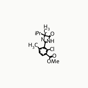 COC(=O)c1ccc(C)c(C2=NC(C)(C(C)C)C(=O)N2)c1Cl